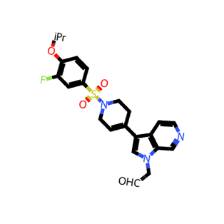 CC(C)Oc1ccc(S(=O)(=O)N2CC=C(c3cn(CC=O)c4cnccc34)CC2)cc1F